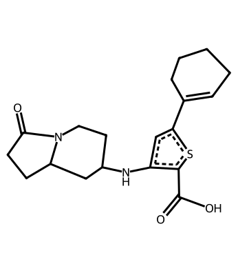 O=C(O)c1sc(C2=CCCCC2)cc1NC1CCN2C(=O)CCC2C1